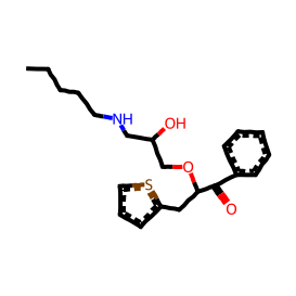 CCCCCNCC(O)COC(Cc1cccs1)C(=O)c1ccccc1